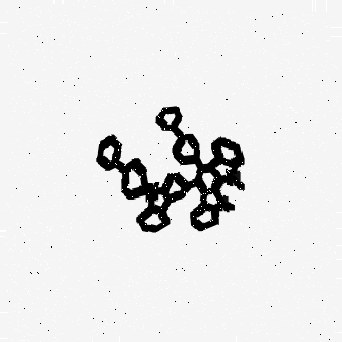 Cn1c2ccccc2c2c(-c3ccc(-c4ccccc4)cc3)c(-c3ccc4c(c3)c3ccccc3n4-c3ccc(-c4ccccc4)cc3)c3c4ccccc4n(C)c3c21